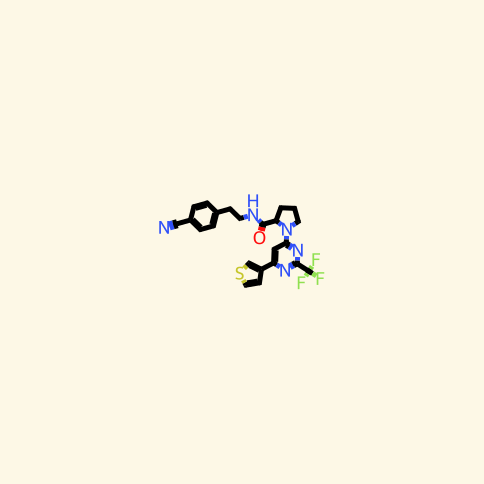 N#Cc1ccc(CCNC(=O)C2CCCN2c2cc(-c3ccsc3)nc(C(F)(F)F)n2)cc1